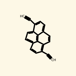 C#Cc1ccc2ccc3c(C#C)ccc4ccc1c2c43